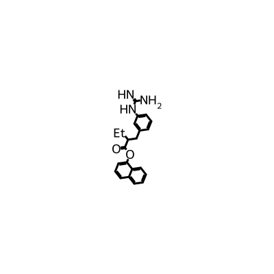 CCC(Cc1cccc(NC(=N)N)c1)C(=O)Oc1cccc2ccccc12